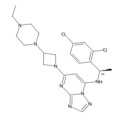 CCN1CCN(C2CN(c3cc(N[C@H](C)c4ccc(Cl)cc4Cl)n4ncnc4n3)C2)CC1